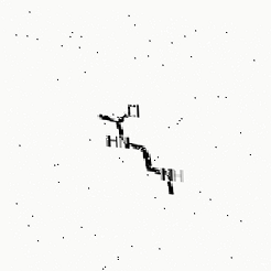 CN/C=C/NC(C)Cl